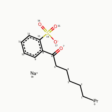 CC(C)CCCCCC(=O)c1ccccc1S(=O)(=O)[O-].[Na+]